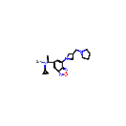 CC(=O)N(C1CC1)C(C)c1cc(N2CC(CN3CCCC3)C2)c2nonc2c1